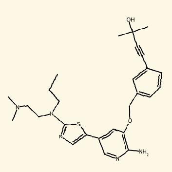 CCCN(CCN(C)C)c1ncc(-c2cnc(N)c(OCc3cccc(C#CC(C)(C)O)c3)c2)s1